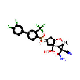 CO[C@H]1C[C@@H](S(=O)(=O)c2ccc(-c3ccc(F)c(F)c3)cc2C(F)(F)F)C[C@]1(C(=O)O)C1CC1(C#N)C(N)=O